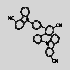 N#Cc1ccc(-c2ccccc2-n2c3ccccc3c3cc(C#N)ccc32)c(-c2ccc(-n3c4ccccc4c4c(C#N)cccc43)cc2)c1